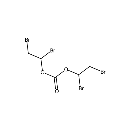 O=C(OC(Br)CBr)OC(Br)CBr